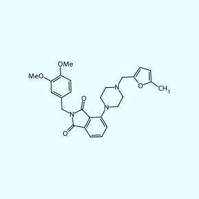 COc1ccc(CN2C(=O)c3cccc(N4CCN(Cc5ccc(C)o5)CC4)c3C2=O)cc1OC